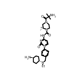 CCN(Cc1ccc(-n2ccc(NC(=O)N3CCN(C(=O)C(C)(C)N)C[C@H]3C)nc2=O)cc1)[C@H]1CC[C@H](N)CC1